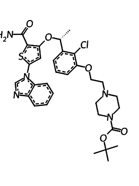 C[C@@H](Oc1cc(-n2cnc3ccccc32)sc1C(N)=O)c1cccc(OCCN2CCN(C(=O)OC(C)(C)C)CC2)c1Cl